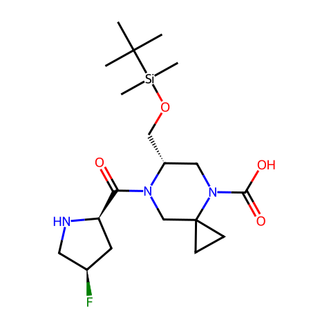 CC(C)(C)[Si](C)(C)OC[C@@H]1CN(C(=O)O)C2(CC2)CN1C(=O)[C@H]1C[C@@H](F)CN1